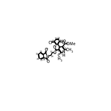 COC(=O)C1=C(C)NC(C)=C(C(=O)OCCN2C(=O)c3ccccc3C2=O)C1c1cc(Cl)ccc1[N+](=O)[O-]